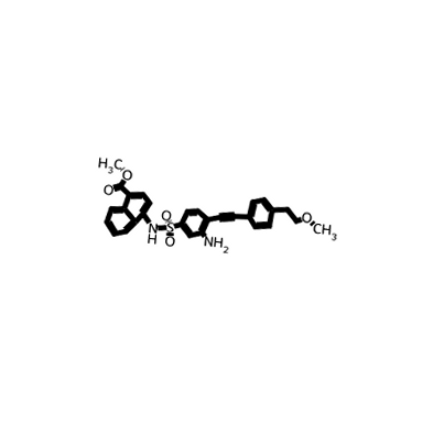 COCCc1ccc(C#Cc2ccc(S(=O)(=O)Nc3ccc(C(=O)OC)c4ccccc34)cc2N)cc1